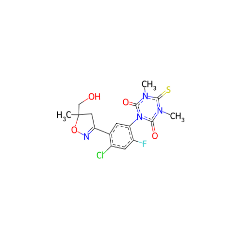 Cn1c(=S)n(C)c(=O)n(-c2cc(C3=NOC(C)(CO)C3)c(Cl)cc2F)c1=O